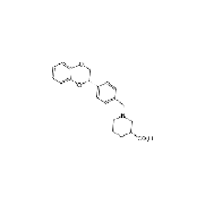 O=C(O)C1CCCN(Cc2ccc([C@H]3COc4ccccc4O3)cc2)C1